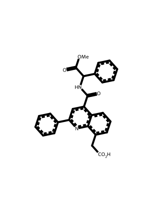 COC(=O)C(NC(=O)c1cc(-c2ccccc2)nc2c(CC(=O)O)cccc12)c1ccccc1